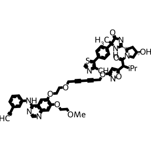 C#Cc1cccc(Nc2ncnc3cc(OCCOC)c(OCCOCC#CC#CCOc4cc(C(C(=O)N5C[C@H](O)C[C@H]5C5=NC(=O)C(C)(c6ccc(-c7scnc7C)cc6)N5)C(C)C)on4)cc23)c1